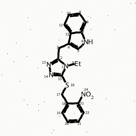 CCn1c(Cc2c[nH]c3ccccc23)nnc1SCc1ccccc1[N+](=O)[O-]